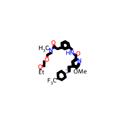 CCOCCOCCN(C)C(=O)Cc1cccc(CNC(=O)c2cc(/C=C/[C@H]3CC[C@H](C(F)(F)F)CC3)c(OC)cn2)c1